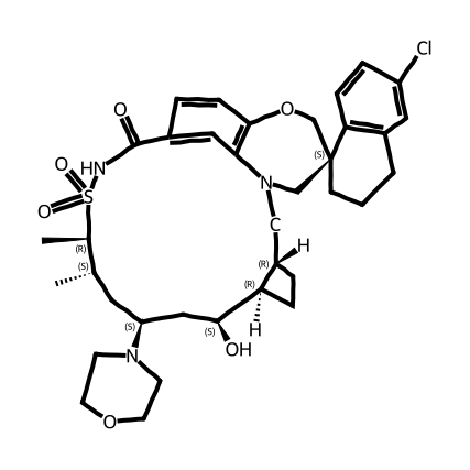 C[C@@H]1[C@@H](C)C[C@H](N2CCOCC2)C[C@H](O)[C@@H]2CC[C@H]2CN2C[C@@]3(CCCc4cc(Cl)ccc43)COc3ccc(cc32)C(=O)NS1(=O)=O